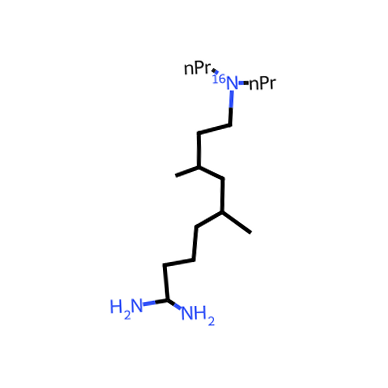 CCC[16N](CCC)CCC(C)CC(C)CCCC(N)N